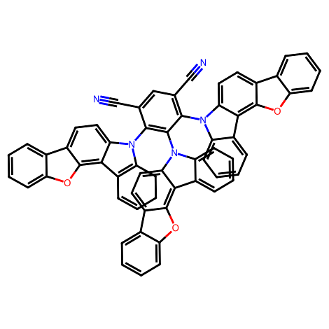 N#Cc1cc(C#N)c(-n2c3ccccc3c3c4oc5ccccc5c4ccc32)c(-n2c3ccccc3c3c4oc5ccccc5c4ccc32)c1-n1c2c(c3c4oc5ccccc5c4ccc31)C=CCC2